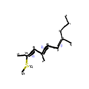 CCC\C(C)=C/C=C(C)/C=C(/C)SC